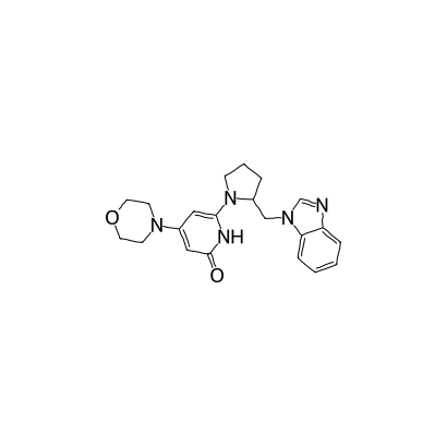 O=c1cc(N2CCOCC2)cc(N2CCCC2Cn2cnc3ccccc32)[nH]1